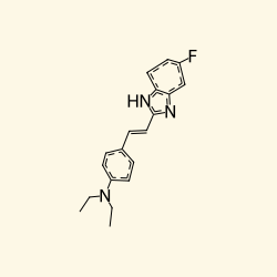 CCN(CC)c1ccc(C=Cc2nc3cc(F)ccc3[nH]2)cc1